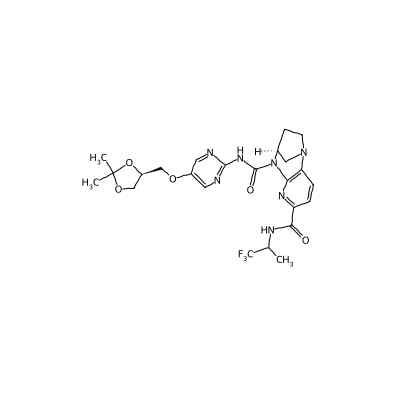 CC(NC(=O)c1ccc2c(n1)N(C(=O)Nc1ncc(OC[C@H]3COC(C)(C)O3)cn1)[C@H]1CCN2C1)C(F)(F)F